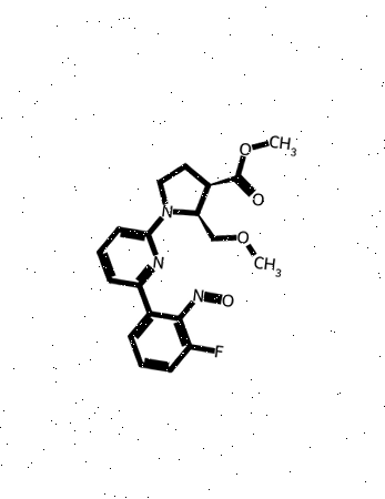 COC[C@@H]1[C@H](C(=O)OC)CCN1c1cccc(-c2cccc(F)c2N=O)n1